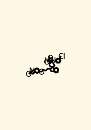 COC(=O)C1(Nc2cccc(Cl)c2)CCC2(CC1)c1ccccc1CC2CCCOc1ccc2c(c1)CC(=O)N2C